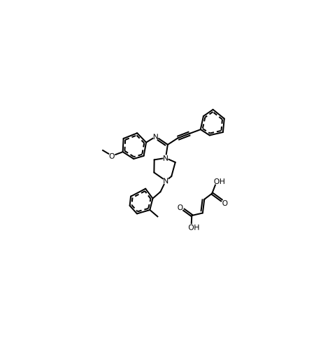 COc1ccc(N=C(C#Cc2ccccc2)N2CCN(Cc3ccccc3C)CC2)cc1.O=C(O)C=CC(=O)O